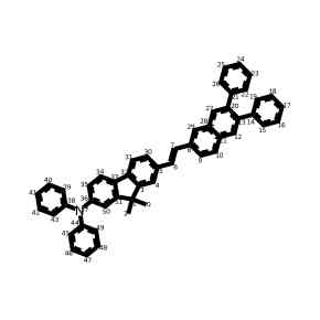 CC1(C)c2cc(/C=C/c3ccc4cc(-c5ccccc5)c(-c5ccccc5)cc4c3)ccc2-c2ccc(N(c3ccccc3)c3ccccc3)cc21